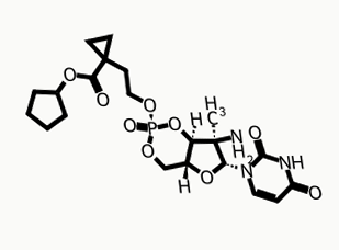 C[C@@]1(N)[C@@H]2O[P@@](=O)(OCCC3(C(=O)OC4CCCC4)CC3)OC[C@H]2O[C@H]1n1ccc(=O)[nH]c1=O